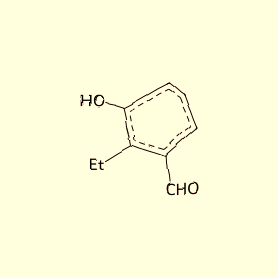 CCc1c(O)cccc1C=O